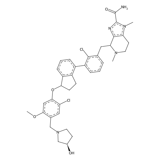 COc1cc(OC2CCc3c(-c4cccc(CC5c6nc(C(N)=O)n(C)c6CCN5C)c4Cl)cccc32)c(Cl)cc1CN1CC[C@@H](O)C1